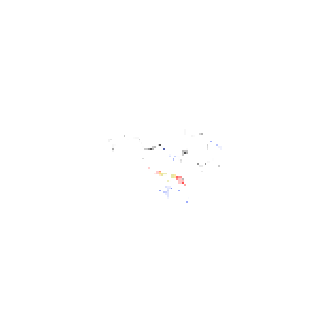 CCCCN(C1CCNCC1)S(N)(=O)=O